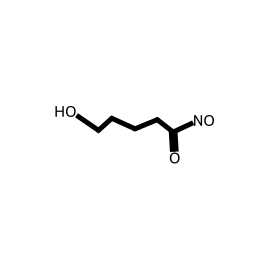 O=NC(=O)CCCCO